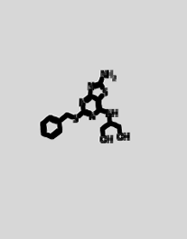 Nc1nc2nc(SCc3ccccc3)nc(NC(CO)CO)c2s1